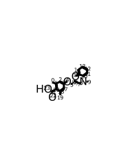 Cc1cc(OC[C@@H]2CN(C)c3ccccc3O2)cc(C)c1C(=O)O